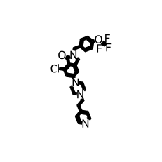 O=C1c2c(Cl)cc(N3CCN(CCc4ccncc4)CC3)cc2CN1Cc1ccc(OC(F)(F)F)cc1